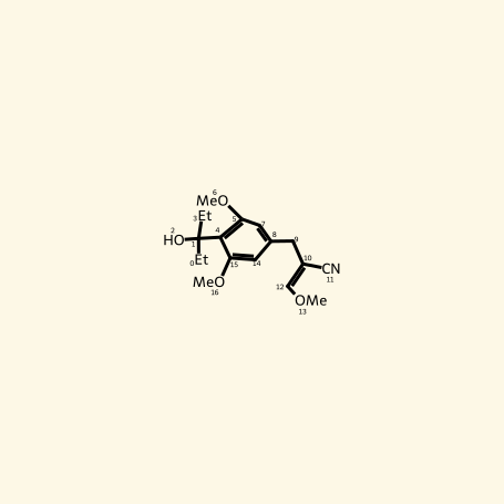 CCC(O)(CC)c1c(OC)cc(CC(C#N)=COC)cc1OC